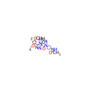 COc1cc(-c2ncnc3c(C(=O)N[C@H]4CC[C@@H](NC(C)=O)CC4)c(C)[nH]c23)c(OCC2CC2)cc1F